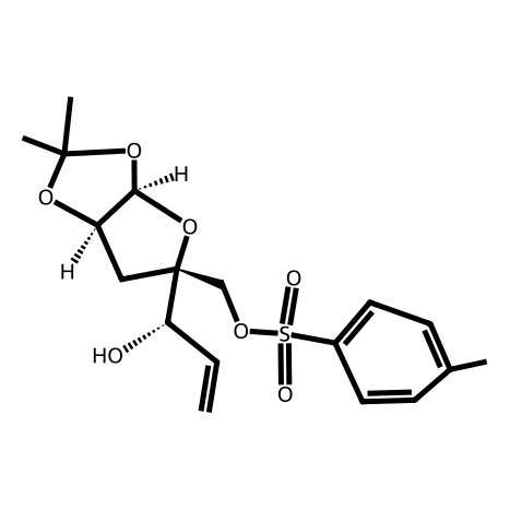 C=C[C@H](O)[C@]1(COS(=O)(=O)c2ccc(C)cc2)C[C@H]2OC(C)(C)O[C@H]2O1